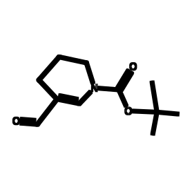 CC(C)(C)OC(=O)N1C=C(C=O)CCC1